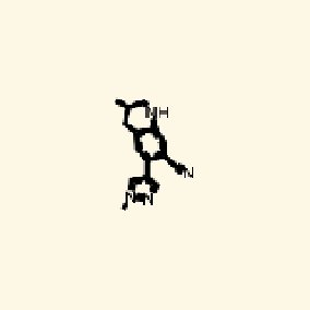 CC1CNc2cc(C#N)c(-c3cnn(C)c3)cc2C1